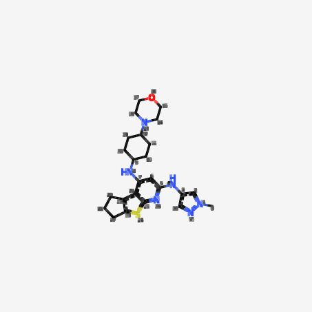 Cn1cc(Nc2cc(NC3CCC(N4CCOCC4)CC3)c3c4c(sc3n2)CCC4)cn1